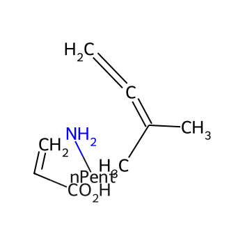 C=C=C(C)C.C=CC(=O)O.CCCCCN